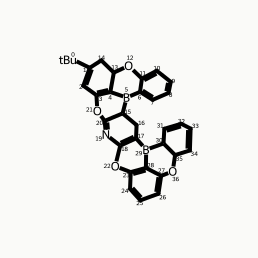 CC(C)(C)C1=CC2=C3B(c4ccccc4OC3C1)C1CC3=C(N=C1O2)Oc1cccc2c1B3C1C=CC=CC1O2